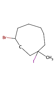 CC1(I)CCCCCC(Br)CC1